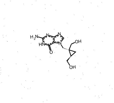 Nc1nc2ncn(C[C@]3(CO)C[C@H]3CO)c2c(=O)[nH]1